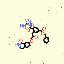 N=C(N)NC(=O)c1ccc(C(=O)OCc2ccccc2)cc1CC(=O)COc1ccc2c(c1)C(=O)NCC2